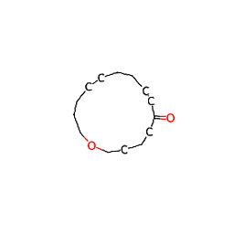 O=C1CCCCCCCCCOCCCC1